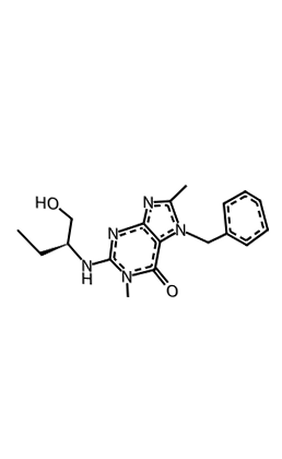 CC[C@@H](CO)Nc1nc2nc(C)n(Cc3ccccc3)c2c(=O)n1C